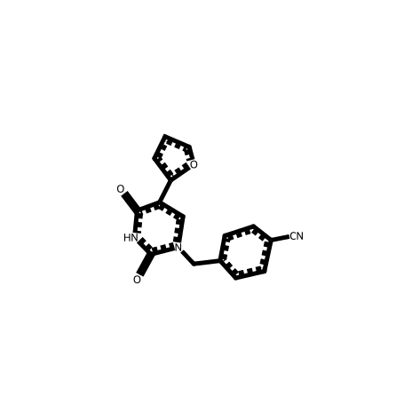 N#Cc1ccc(Cn2cc(-c3ccco3)c(=O)[nH]c2=O)cc1